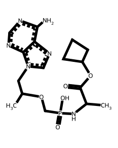 CC(Cn1cnc2c(N)ncnc21)OCP(=O)(O)NC(C)C(=O)OC1CCC1